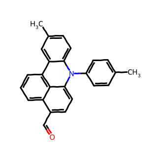 Cc1ccc(N2c3ccc(C)cc3-c3cccc4c(C=O)ccc2c34)cc1